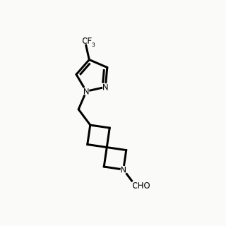 O=CN1CC2(CC(Cn3cc(C(F)(F)F)cn3)C2)C1